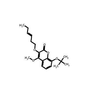 CC/C=C/CCOc1c(OC)c2cccc(OC(C)(C)C)c2oc1=O